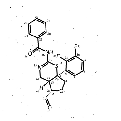 O=C[C@H]1OC[C@]2(c3cccc(F)c3F)SC(NC(=O)c3ccccc3)=NC[C@@H]12